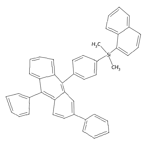 C[Si](C)(c1ccc(-c2c3ccccc3c(-c3ccccc3)c3ccc(-c4ccccc4)cc23)cc1)c1cccc2ccccc12